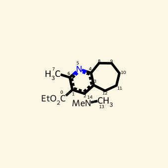 CCOC(=O)c1cc2c(nc1C)CCCCC2.CNC